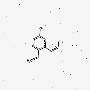 C=Cc1ccc(C)cc1/N=C\C